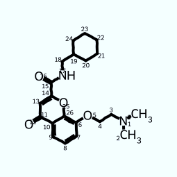 CN(C)CCOc1cccc2c(=O)cc(C(=O)NCC3CCCCC3)oc12